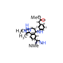 CN/C=C(\C=N)c1ccc2c(c1)C(Nc1cccc(CC(=O)OC)c1)CCN1NN(C)C(C)=C21